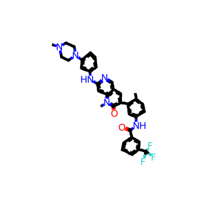 Cc1ccc(NC(=O)c2cccc(C(F)(F)F)c2)cc1-c1cc2cnc(Nc3cccc(N4CCN(C)CC4)c3)cc2n(C)c1=O